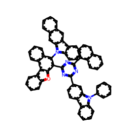 c1ccc(-n2c3ccccc3c3ccc(-c4nc(-c5cccc6ccccc56)nc(-c5c(-n6c7ccccc7c7cc8ccccc8cc76)c6ccccc6c6c5oc5ccccc56)n4)cc32)cc1